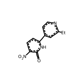 CCc1cc(-c2ccc([N+](=O)[O-])c(=O)[nH]2)ccn1